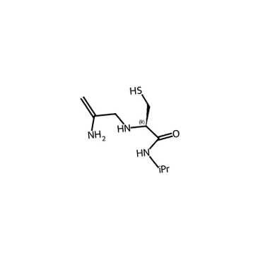 C=C(N)CN[C@@H](CS)C(=O)NC(C)C